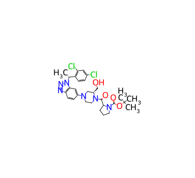 C[C@H](c1ccc(Cl)cc1Cl)n1nnc2ccc(N3CCN(C(=O)C4CCCN4C(=O)OC(C)(C)C)[C@H](CO)C3)cc21